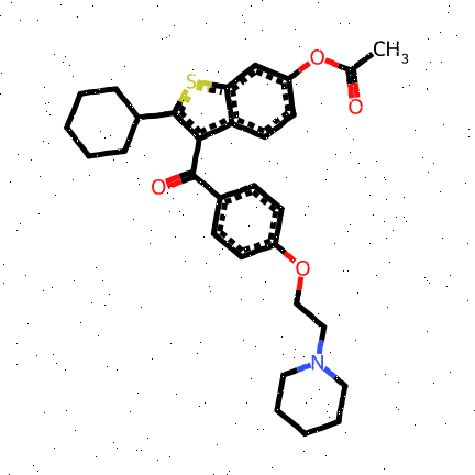 CC(=O)Oc1ccc2c(C(=O)c3ccc(OCCN4CCCCC4)cc3)c(C3CCCCC3)sc2c1